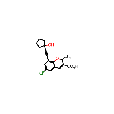 O=C(O)C1=Cc2cc(Cl)cc(C#CC3(O)CCCC3)c2OC1C(F)(F)F